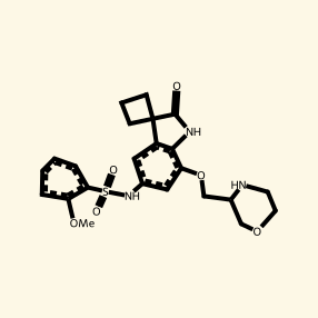 COc1ccccc1S(=O)(=O)Nc1cc(OCC2COCCN2)c2c(c1)C1(CCC1)C(=O)N2